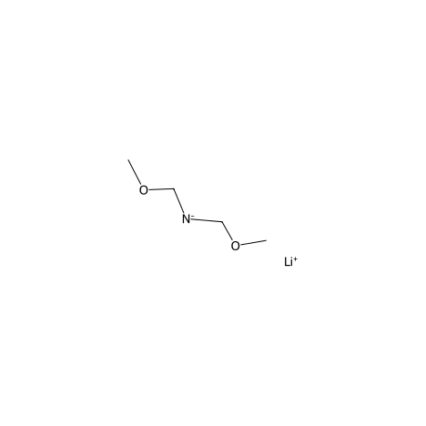 COC[N-]COC.[Li+]